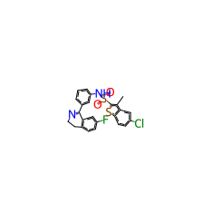 Cc1c(S(=O)(=O)Nc2cccc(C3=NCCc4ccc(F)cc43)c2)sc2ccc(Cl)cc12